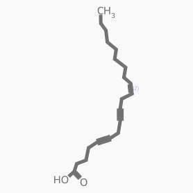 CCCCCCCC/C=C\CC#CCC#CCCCC(=O)O